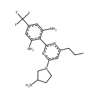 CCCc1cc(N2CCC(N)C2)nc(-c2c(N)cc(C(F)(F)F)cc2N)n1